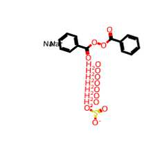 O.O.O.O.O.O.O.O=C(OOC(=O)c1ccccc1)c1ccccc1.O=S([O-])[O-].[Na+].[Na+]